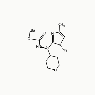 CCn1cc(C)nc1[C@H](NC(=O)OC(C)(C)C)C1CCOCC1